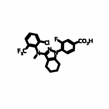 CN(c1nn(-c2ccc(C(=O)O)cc2F)c2c1CCCC2)c1c(Cl)cccc1C(F)(F)F